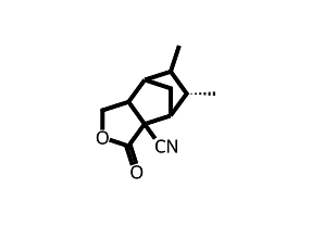 CC1C2CC([C@H]1C)C1(C#N)C(=O)OCC21